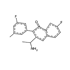 Cc1cc(F)cc(-c2c(C(C)N)cc3ccc(F)cn3c2=O)c1